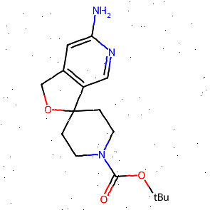 CC(C)(C)OC(=O)N1CCC2(CC1)OCc1cc(N)ncc12